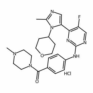 Cc1ncc(-c2nc(Nc3ccc(C(=O)N4CCN(C)CC4)cc3)ncc2F)n1C1CCOCC1.Cl